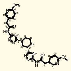 COC1=NCC(CC(=O)Nc2nnc([C@H]3CCC[C@H](c4nnc(NC(=O)Cc5ccc(OC)nc5)s4)C3)s2)C=C1